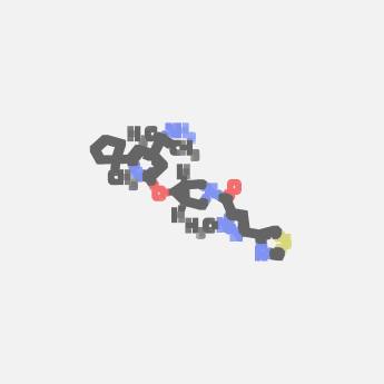 Cn1nc(-c2cscn2)cc1C(=O)N1C[C@@H]2[C@H](C1)[C@@H]2Oc1cc(C(C)(C)N)cc(C2(C)CCCC2)n1